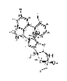 CCS(=O)(=O)N[C@@H]1Cn2c(cn(-c3noc4nc(C)cc(-c5c(F)cccc5F)c34)c2=O)C1(F)F